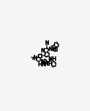 CC(C)(C)N1CCC(N2C=C([C@@H](Nc3cc(Cl)c4ncc(C#N)c(NCc5ccccc5Cl)c4c3)c3ccccc3)NN2)CC1